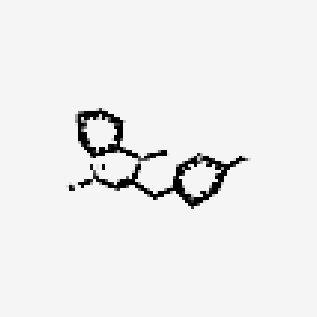 CN(/C(=C\N(O)O)Cc1ccc(Cl)nc1)c1ccccc1